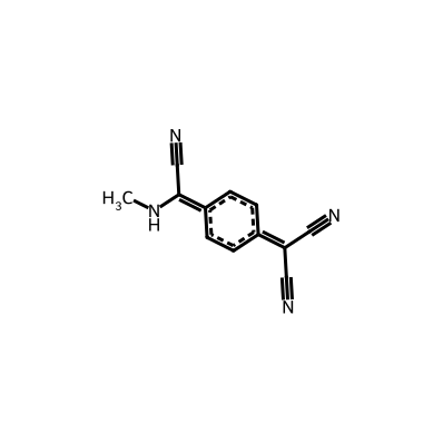 CNC(C#N)=c1ccc(=C(C#N)C#N)cc1